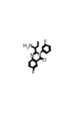 CCC(N)c1nc2ccc(F)cc2c(=O)n1-c1cccc(F)c1